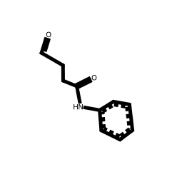 O=[C]CCC(=O)Nc1ccccc1